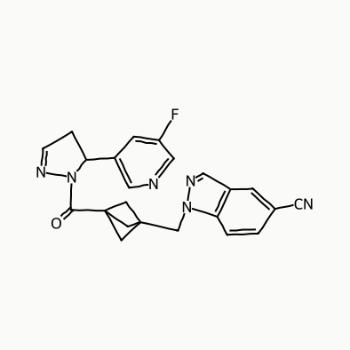 N#Cc1ccc2c(cnn2CC23CC(C(=O)N4N=CCC4c4cncc(F)c4)(C2)C3)c1